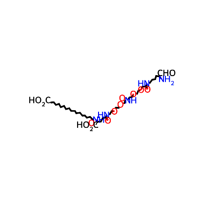 N[C@H]([C]=O)CCCCNC(=O)COCCOCCNC(=O)COCCOCCNC(=O)CC[C@H](NC(=O)CCCCCCCCCCCCCCCCC(=O)O)C(=O)O